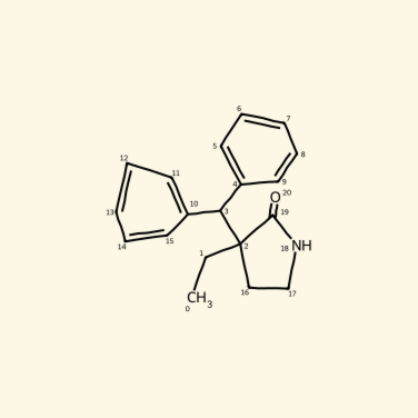 CCC1(C(c2ccccc2)c2ccccc2)CCNC1=O